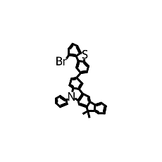 CC1(C)c2ccccc2-c2cc3c4cc(-c5ccc6sc7cccc(Br)c7c6c5)ccc4n(-c4ccccc4)c3cc21